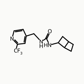 O=C(NCc1ccnc(C(F)(F)F)c1)NC1CC2CCC21